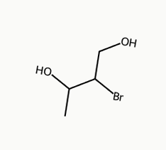 CC(O)C(Br)CO